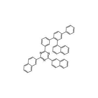 c1ccc(-c2ccc(-c3cccc(-c4nc(-c5ccc6ccccc6c5)nc(-c5ccc6ccccc6c5)n4)c3)c(-c3cccc4ccccc34)c2)cc1